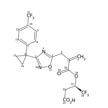 C=C(Cc1nc(C2(c3ccc(C(F)(F)F)cc3)CC2)no1)C(=O)O[C@H](CC(=O)O)C(F)(F)F